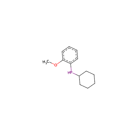 COc1ccccc1PC1CCCCC1